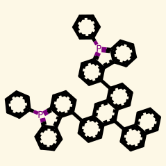 c1ccc(-p2c3ccccc3c3c(-c4cccc5c(-c6cccc7ccccc67)c6cccc(-c7cccc8c7c7ccccc7p8-c7ccccc7)c6cc45)cccc32)cc1